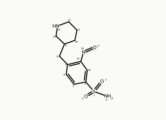 NS(=O)(=O)c1ccc(CC2CCCNC2)c(N=O)c1